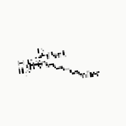 CCCCCCCCCCCCCCCCCCCCC1(OC(=O)CCCCC)CC1N(C)C